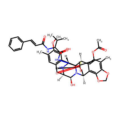 COc1c(C)cc2c(c1O)[C@H]1N[C@H](C2)[C@H](O)N2C1[C@@H]1SC[C@H](NC(=O)C(NC(=O)/C=C/c3ccccc3)C(C)C)C(=O)OC[C@H]2c2c3c(c(C)c(OC(C)=O)c21)OCO3